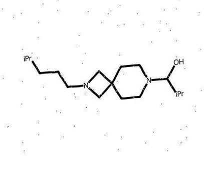 CC(C)CCCN1CC2(CCN(C(O)C(C)C)CC2)C1